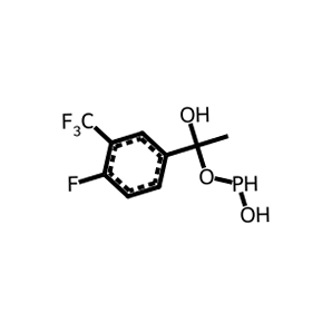 CC(O)(OPO)c1ccc(F)c(C(F)(F)F)c1